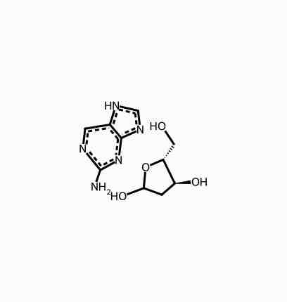 Nc1ncc2[nH]cnc2n1.OC[C@H]1OC(O)C[C@@H]1O